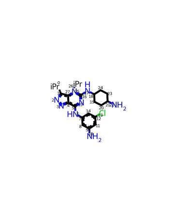 CC(C)c1nnc2c(Nc3cc(N)cc(Cl)c3)nc(NC3CCC(N)CC3)n(C(C)C)c1-2